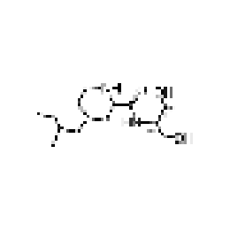 CCC(C)CC1CCNC(C(=O)N[C@H](CO)[C@@H](C)O)C1